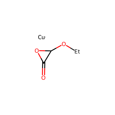 CCOC1OC1=O.[Cu]